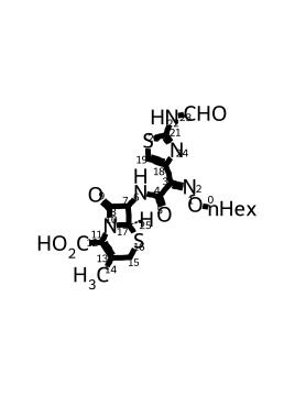 CCCCCCO/N=C(\C(=O)NC1C(=O)N2C(C(=O)O)=C(C)CS[C@H]12)c1csc(NC=O)n1